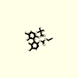 CCOC(=O)Oc1ccc(C)c(C)c1-c1c(OC(=O)C(C)(C)C)ccc(C)c1C